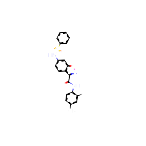 N#Cc1ccc(NC(=O)c2noc3cc(NS(=O)(=O)c4ccccc4)ccc23)c(C(=O)O)c1